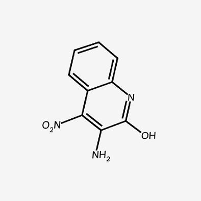 Nc1c(O)nc2ccccc2c1[N+](=O)[O-]